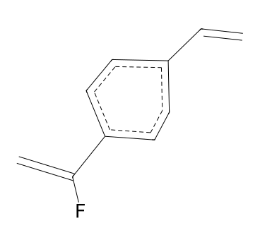 C=Cc1ccc(C(=C)F)cc1